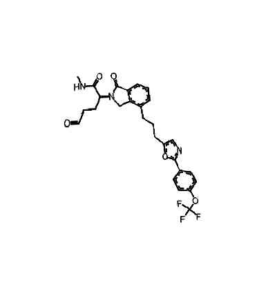 CNC(=O)C(CCC=O)N1Cc2c(CCCc3cnc(-c4ccc(OC(F)(F)F)cc4)o3)cccc2C1=O